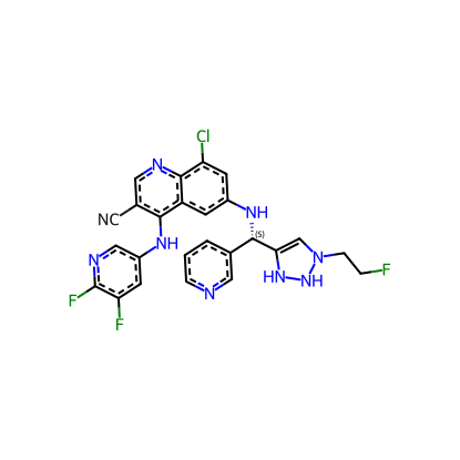 N#Cc1cnc2c(Cl)cc(N[C@H](C3=CN(CCF)NN3)c3cccnc3)cc2c1Nc1cnc(F)c(F)c1